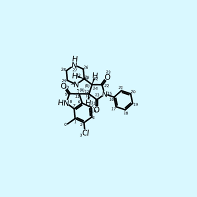 Cc1c(Cl)ccc2c1NC(=O)[C@@]21[C@H]2C(=O)N(c3ccccc3)C(=O)[C@H]2[C@H]2CNCCN21